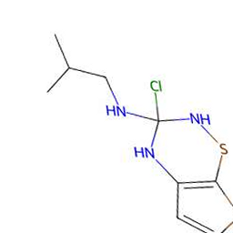 CC(C)CNC1(Cl)NSc2sccc2N1